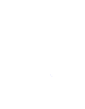 C[Si](OCCN1CCCCC1)(c1ccccc1)c1ccccc1